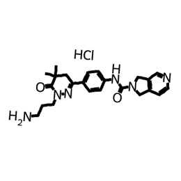 CC1(C)CC(c2ccc(NC(=O)N3Cc4ccncc4C3)cc2)=NN(CCCN)C1=O.Cl